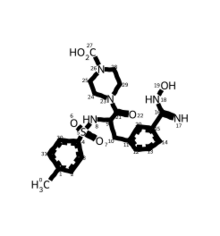 Cc1ccc(S(=O)(=O)NC(Cc2cccc(C(=N)NO)c2)C(=O)N2CCN(C(=O)O)CC2)cc1